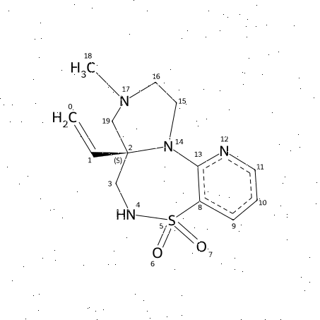 C=C[C@]12CNS(=O)(=O)c3cccnc3N1CCN(C)C2